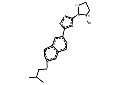 CC(C)COc1ccc2cc(-c3noc([C@H]4NCC[C@@H]4O)n3)ccc2c1